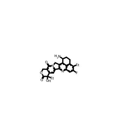 CCc1c(F)cc2nc3c(c4c2c1CCC4N)Cn1c-3cc2c(c1=O)COC(=O)C2(O)CC